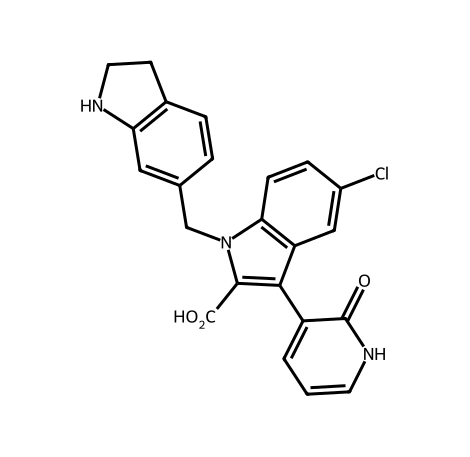 O=C(O)c1c(-c2ccc[nH]c2=O)c2cc(Cl)ccc2n1Cc1ccc2c(c1)NCC2